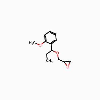 CCC(OCC1CO1)c1ccccc1OC